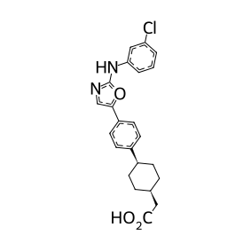 O=C(O)C[C@H]1CC[C@@H](c2ccc(-c3cnc(Nc4cccc(Cl)c4)o3)cc2)CC1